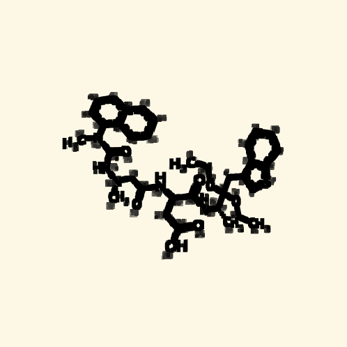 CCOC(Cc1csc2ccccc12)(OCC)[C@H](C)NC(=O)C(CC(=O)O)NC(=O)CN(C)NC(=O)N(C)c1cccc2ccccc12